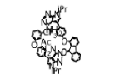 CC(=O)c1c(Oc2ccc(-c3cn(C(C)C)c4ncnc(N)c34)cc2)cccc1C(F)(F)F.CC(C)n1cc(-c2ccc(Oc3cccc4c3C(=O)c3ccccc3-4)cc2)c2c(N)ncnc21